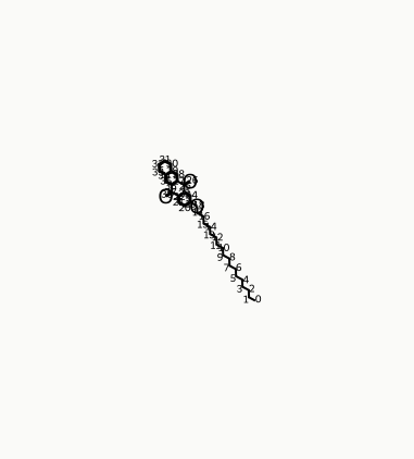 CCCCCCCCCCCCCCCCCCOc1ccc2c(c1)C(=O)c1cc3ccccc3cc1C2=O